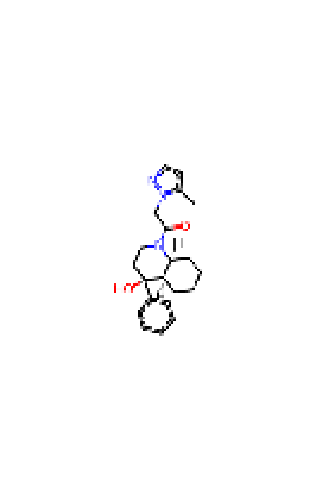 Cc1ccnn1CC(=O)N1CC[C@@](O)(c2ccccc2)[C@@H]2CCCC[C@@H]21